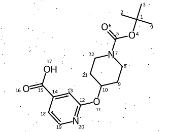 CC(C)(C)OC(=O)N1CCC(Oc2cc(C(=O)O)ccn2)CC1